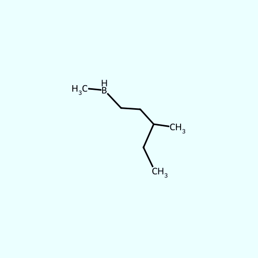 CBCCC(C)CC